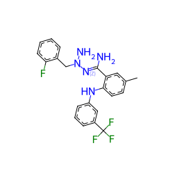 Cc1ccc(Nc2cccc(C(F)(F)F)c2)c(/C(N)=N/N(N)Cc2ccccc2F)c1